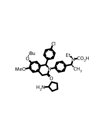 CC[C@@H](C)Oc1cc2c(cc1OC)CC(=O)N(c1ccc([C@H](C)N(CC)C(=O)O)cc1)C2c1ccc(Cl)cc1.NC1CCCC1